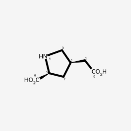 O=C(O)C[C@@H]1CN[C@H](C(=O)O)C1